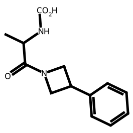 CC(NC(=O)O)C(=O)N1CC(c2ccccc2)C1